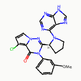 COc1cccc(-n2c([C@@H]3CCCN3c3ncnc4[nH]cnc34)nn3ccc(Cl)c3c2=O)c1